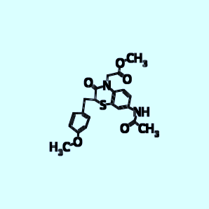 COC(=O)CN1C(=O)C(Cc2ccc(OC)cc2)Sc2cc(NC(C)=O)ccc21